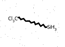 [SiH3]CCCCCCCCCCCCC(Cl)(Cl)Cl